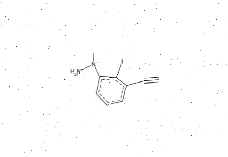 C#Cc1cccc(N(C)N)c1I